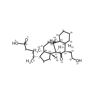 CC(CCC(=O)O)[C@H]1CC[C@H]2[C@@H]3C(=O)[C@H](CCO)[C@@H]4CCCC[C@]4(C)[C@H]3CC[C@]12C